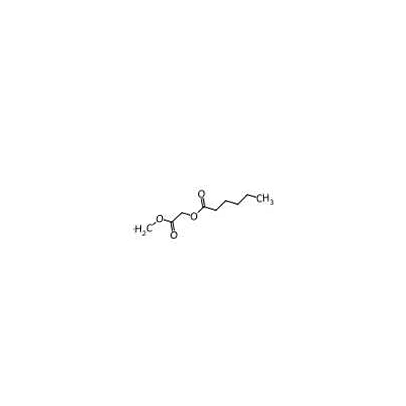 [CH2]OC(=O)COC(=O)CCCCC